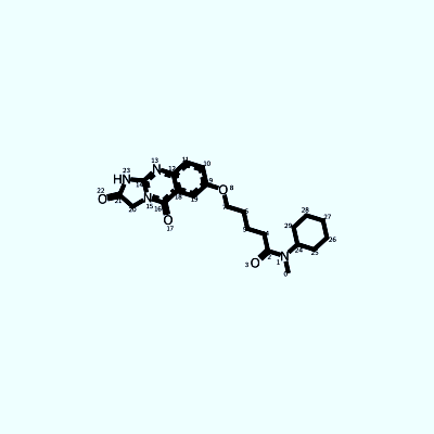 CN(C(=O)CCCCOc1ccc2nc3n(c(=O)c2c1)CC(=O)N3)C1CCCCC1